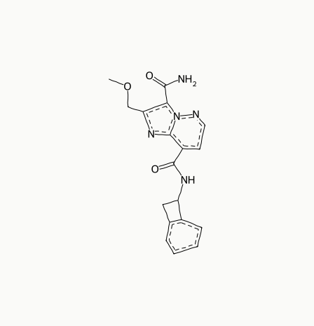 COCc1nc2c(C(=O)NC3Cc4ccccc43)ccnn2c1C(N)=O